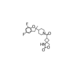 CC1(C2CCN(C(=O)C3CC4(COC(=O)N4)C3)CC2)Cc2cc(F)cc(F)c2O1